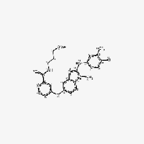 COCCCNC(=O)c1cc(Oc2ccc3c(c2)nc(Nc2ccc(Cl)c(C(F)(F)F)c2)n3C)ccn1